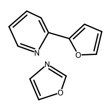 c1ccc(-c2ccco2)nc1.c1cocn1